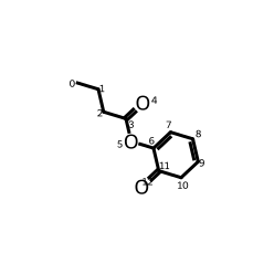 CCCC(=O)OC1=CC=CCC1=O